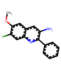 COc1cc2cc(N)c(-c3ccccc3)nc2cc1F